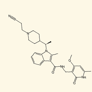 COc1cc(C)[nH]c(=O)c1CNC(=O)c1c(C)n([C@H](C)C2CCN(CCC#N)CC2)c2ccccc12